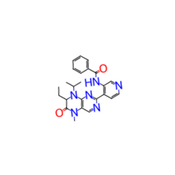 CCC1C(=O)N(C)c2cnc(-c3ccncc3NC(=O)c3ccccc3)nc2N1C(C)C